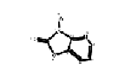 CC(C)n1c(=O)oc2cccnc21